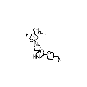 CC(C)(C)OC(=O)N1CCC2(CC1)CNCC(C1CCC(C=O)CO1)O2